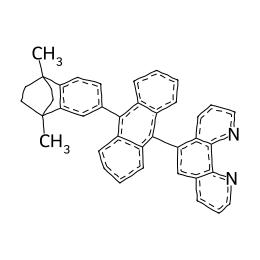 CC12CCC(C)(CC1)c1cc(-c3c4ccccc4c(-c4cc5cccnc5c5ncccc45)c4ccccc34)ccc12